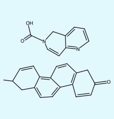 CC1C=Cc2c(ccc3c4c(ccc23)CC(=O)C=C4)C1.O=C(O)N1C=Cc2ncccc2C1